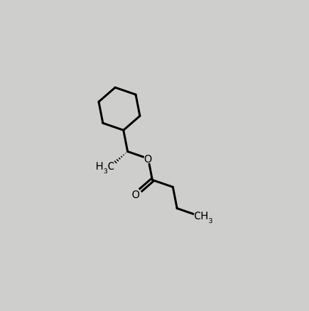 CCCC(=O)O[C@H](C)C1CCCCC1